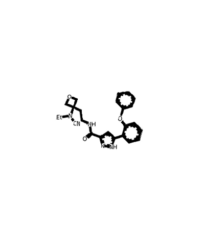 CCN(C#N)C1(CCNC(=O)c2cc(-c3ccccc3Oc3ccccc3)[nH]n2)COC1